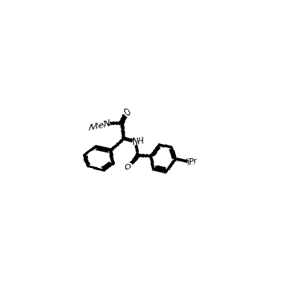 CNC(=O)C(NC(=O)c1ccc(C(C)C)cc1)c1ccccc1